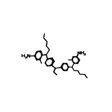 CCCCCC(c1ccc(C(CC)c2ccc(C(CCCCC)c3ccc(N)cc3C)cc2)cc1)c1ccc(N)cc1C